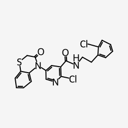 O=C(NCCc1ccccc1Cl)c1cc(N2C(=O)CSc3ccccc32)cnc1Cl